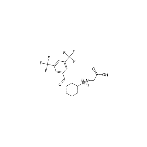 NC1CCCCC1.NCC(=O)O.O=Cc1cc(C(F)(F)F)cc(C(F)(F)F)c1